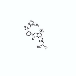 Cn1cnnc1CC1(c2cccc(N3Cc4c(cc(CNCC(O)C5CC5)cc4C(F)(F)F)C3=O)c2)COC1